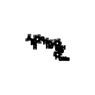 COc1cccc(S(=O)(=O)Nc2cccc([C@@H](O)CNCCOc3ccc4c(C5CC5)n[nH]c4c3)c2)c1